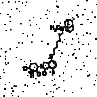 CN(CCCCCCCSc1ccc(F)c2c1CN(C1CCC(=O)NC1=O)C2=O)C12CC3CC(CC(C3)C1)C2